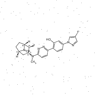 CN(c1ccc(-c2ccc(-n3cc(F)cn3)cc2O)nn1)[C@H]1C[C@@H]2CC[C@H]([C@H]1F)N2C